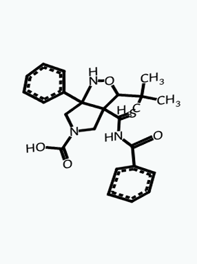 CC(C)(C)C1ONC2(c3ccccc3)CN(C(=O)O)CC12C(=S)NC(=O)c1ccccc1